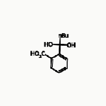 CCCCC(O)(O)c1ccccc1C(=O)O